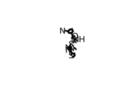 CCn1c(SCN2C=C(c3cccc(C#N)c3)ON2)nnc1-c1cccs1